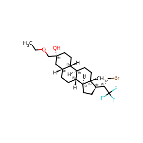 CCOC[C@@]1(O)CC[C@H]2[C@H](CC[C@@H]3[C@@H]2CC[C@]2(C)[C@@H]([C@H](CBr)C(F)(F)F)CC[C@@H]32)C1